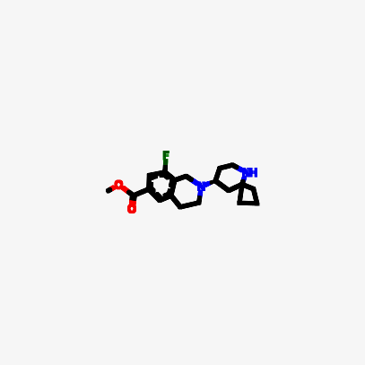 COC(=O)c1cc(F)c2c(c1)CCN([C@H]1CCNC3(CCC3)C1)C2